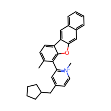 Cc1ccc2c(oc3cc4ccccc4cc32)c1-c1cc(CC2CCCC2)cc[n+]1C